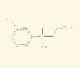 C=CC[Si](C)(C)c1cccc(C(F)(F)F)c1